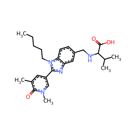 CCCCCn1c(-c2cc(C)c(=O)n(C)c2)nc2cc(CNC(C(=O)O)C(C)C)ccc21